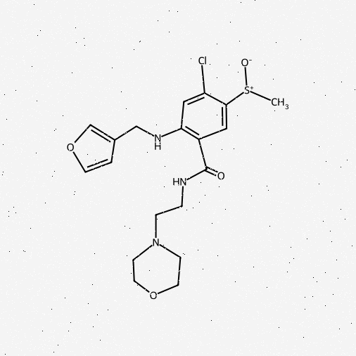 C[S+]([O-])c1cc(C(=O)NCCN2CCOCC2)c(NCc2ccoc2)cc1Cl